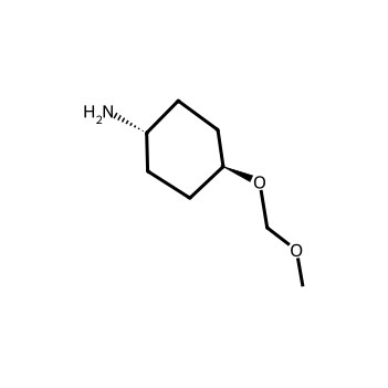 COCO[C@H]1CC[C@H](N)CC1